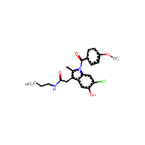 Cc1c(CC(=O)NCCC(=O)O)c2cc(O)c(Cl)cc2n1C(=O)c1ccc(OC(F)(F)F)cc1